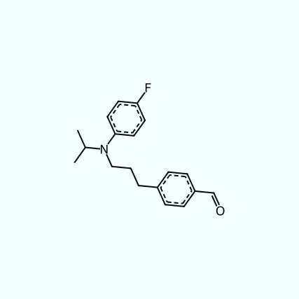 CC(C)N(CCCc1ccc(C=O)cc1)c1ccc(F)cc1